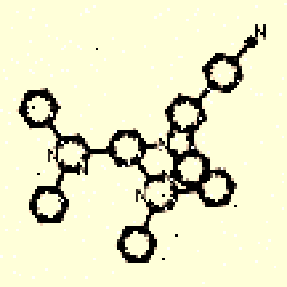 N#Cc1ccc(-c2ccc3c(c2)c2ccccc2n3-c2ccc(-c3cc(-c4ccccc4)nc(-c4ccccc4)n3)cc2-c2nc(-c3ccccc3)cc(-c3ccccc3)n2)cc1